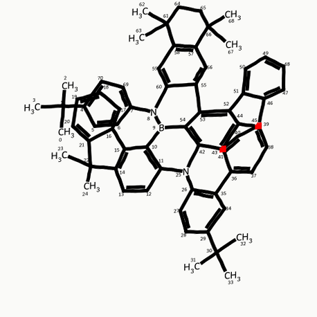 CC(C)(C)c1ccc(N2B3c4c(ccc5c4-c4ccccc4C5(C)C)N(c4ccc(C(C)(C)C)cc4-c4ccccc4)c4cc5oc6ccccc6c5c(c43)-c3cc4c(cc32)C(C)(C)CCC4(C)C)cc1